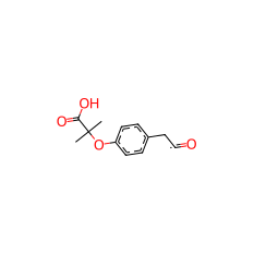 CC(C)(Oc1ccc(C[C]=O)cc1)C(=O)O